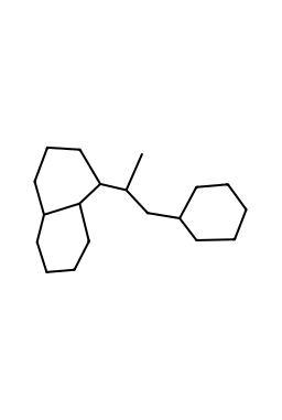 CC(CC1CCCCC1)C1CCCC2CCCCC21